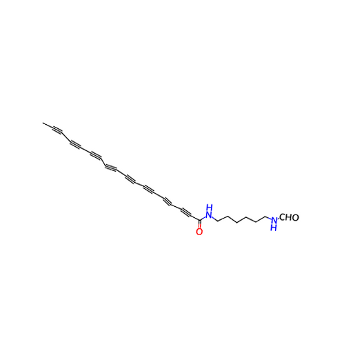 CC#CC#CC#CC#CC#CC#CC#CC#CC(=O)NCCCCCCNC=O